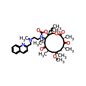 CC[C@H]1OC(=O)[C@H](C)C(=O)[C@H](C)[C][C@](C)(OC)C[C@@H](C)C(=O)[C@H](C)[C@H]2N(CCN(C)Cc3ccc4ccccc4n3)C(=O)O[C@]12CC